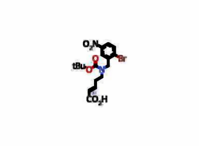 CC(C)(C)OC(=O)N(CC/C=C/C(=O)O)Cc1cc([N+](=O)[O-])ccc1Br